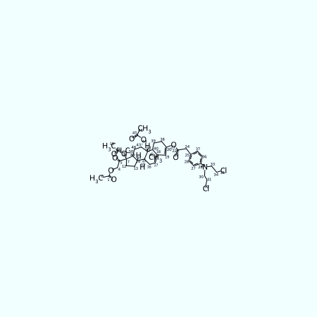 CC(=O)OCC(=O)[C@@]1(OC(C)=O)CC[C@H]2[C@@H]3CC=C4C=C(OC(=O)Cc5ccc(N(CCCl)CCCl)cc5)CC[C@]4(C)[C@H]3[C@@H](OC(C)=O)C[C@@]21C